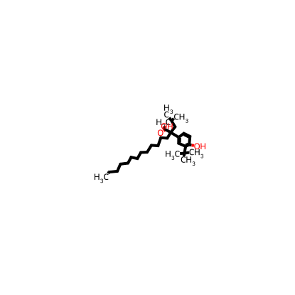 CCCCCCCCCCCCCC(CC(C)(C)C)(C(=O)O)c1ccc(O)c(C(C)(C)C)c1